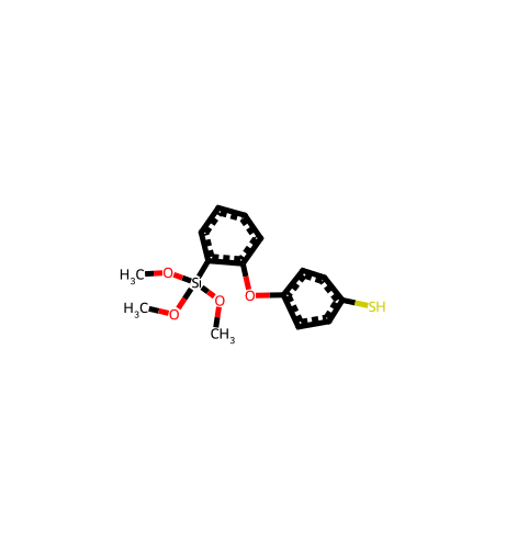 CO[Si](OC)(OC)c1ccccc1Oc1ccc(S)cc1